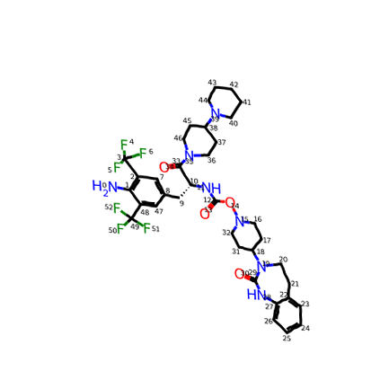 Nc1c(C(F)(F)F)cc(C[C@@H](NC(=O)ON2CCC(N3CCc4ccccc4NC3=O)CC2)C(=O)N2CCC(N3CCCCC3)CC2)cc1C(F)(F)F